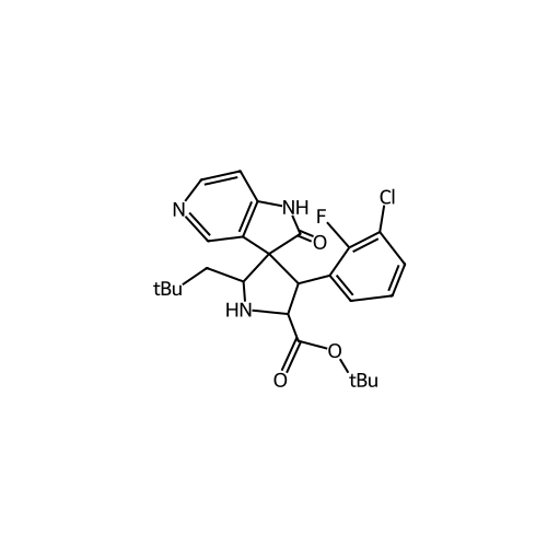 CC(C)(C)CC1NC(C(=O)OC(C)(C)C)C(c2cccc(Cl)c2F)C12C(=O)Nc1ccncc12